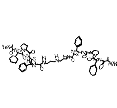 CN[C@@H](C)C(=O)N[C@H](C(=O)N1CCCC1C(=O)Nc1sc(C(=O)NCCCNCCCNC(=O)c2nc(-c3ccccc3)c(NC(=O)[C@@H]3CCCN3C(=O)[C@@H](NC(=O)[C@H](C)NC)C3CCCCC3)s2)nc1-c1ccccc1)C1CCCCC1